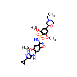 CCN1CCOC(c2cc(OC)c(S(=O)(=O)Nc3noc4cc(Nc5cc(C6CC6)n[nH]5)c(OC)cc34)c(OC)c2)C1